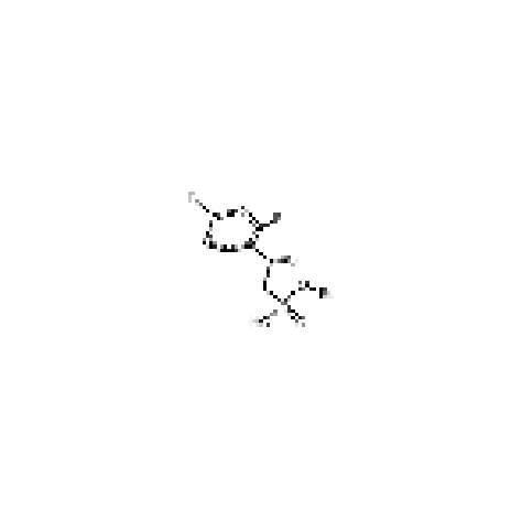 CCOP(=O)(O)CC(=O)c1ccc(F)cc1F